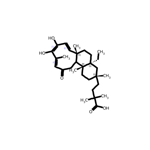 CC[C@@]12CC[C@@]3(C)/C=C/C(O)=C(O)\C(C)=C\C(=O)CC3[C@@]1(C)CC[C@@](C)(CCC(C)(C)C(=O)O)C2